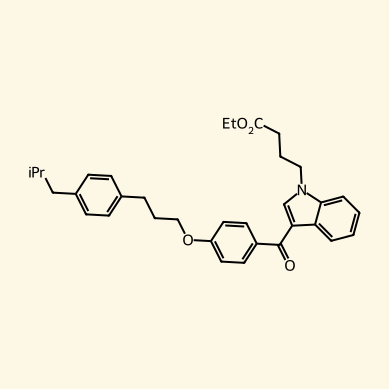 CCOC(=O)CCCn1cc(C(=O)c2ccc(OCCCc3ccc(CC(C)C)cc3)cc2)c2ccccc21